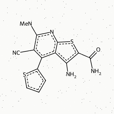 CNc1nc2sc(C(N)=O)c(N)c2c(-c2cccs2)c1C#N